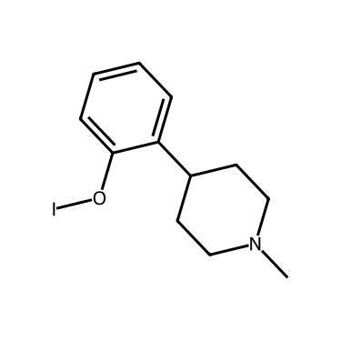 CN1CCC(c2ccccc2OI)CC1